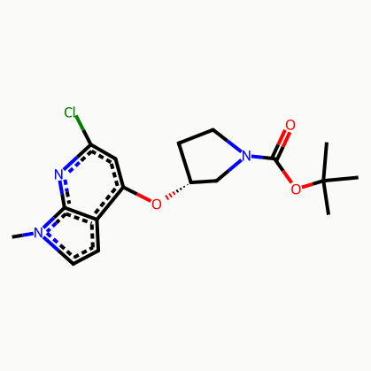 Cn1ccc2c(O[C@@H]3CCN(C(=O)OC(C)(C)C)C3)cc(Cl)nc21